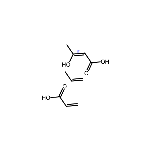 C/C(O)=C/C(=O)O.C=CC.C=CC(=O)O